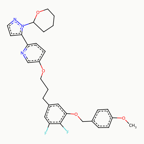 COc1ccc(COc2cc(CCCOc3ccc(-c4ccnn4C4CCCCO4)nc3)cc(F)c2F)cc1